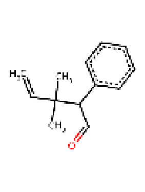 C=CC(C)(C)C(C=O)c1ccccc1